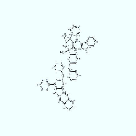 CC1(C)c2cc(-c3c4ccccc4c(-c4cc(-c5ccccc5)c5oc6cc7ccccc7cc6c5c4)c4ccccc34)ccc2-c2c1c1c(c3c2oc2ccccc23)-c2ccccc2C1(C)C